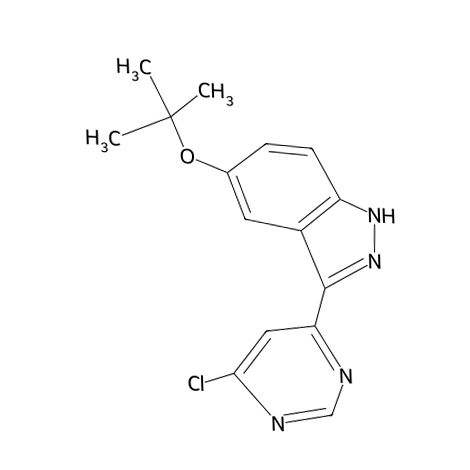 CC(C)(C)Oc1ccc2[nH]nc(-c3cc(Cl)ncn3)c2c1